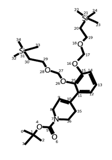 CC(C)(C)OC(=O)N1CC=C(c2cccc(OCOCC[Si](C)(C)C)c2OCOCC[Si](C)(C)C)CC1